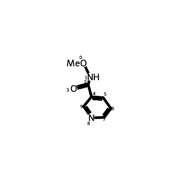 CONC(=O)c1c[c]cnc1